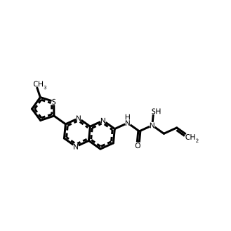 C=CCN(S)C(=O)Nc1ccc2ncc(-c3ccc(C)s3)nc2n1